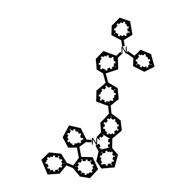 c1ccc(-c2ccccc2-c2ccccc2-n2c3ccccc3c3ccc(-c4ccc(-c5cccc(N(c6ccccc6)c6ccccc6)c5)cc4)cc32)cc1